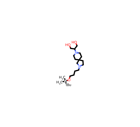 CC(C)(C)[Si](C)(C)OCCCCN1CCC2(CCN(C(CO)CO)CC2)C1